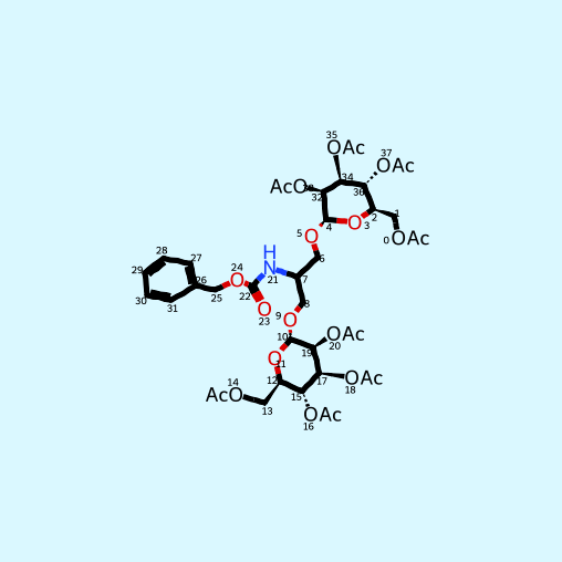 CC(=O)OC[C@H]1O[C@H](OCC(CO[C@H]2O[C@H](COC(C)=O)[C@@H](OC(C)=O)[C@H](OC(C)=O)[C@@H]2OC(C)=O)NC(=O)OCc2ccccc2)[C@@H](OC(C)=O)[C@@H](OC(C)=O)[C@@H]1OC(C)=O